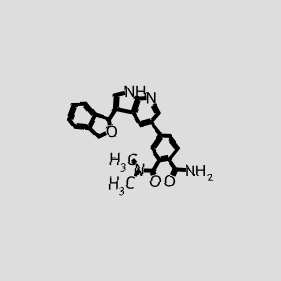 CN(C)C(=O)c1cc(-c2cnc3[nH]cc(C4OCc5ccccc54)c3c2)ccc1C(N)=O